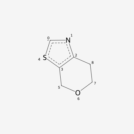 [c]1nc2c(s1)COCC2